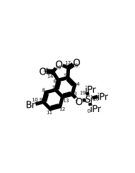 CC(C)[Si](Oc1cc2c(c3cc(Br)ccc13)C(=O)OC2=O)(C(C)C)C(C)C